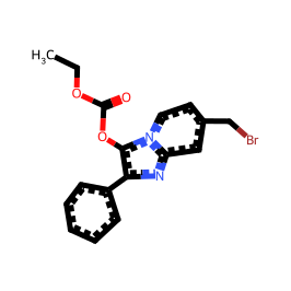 CCOC(=O)Oc1c(-c2ccccc2)nc2cc(CBr)ccn12